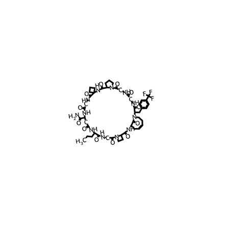 CCCC1NC(=O)CC(C(N)=O)NC(=O)CNC(=O)C2(CCC2)NC(=O)C2CCCN2C(=O)CNC(=O)CNC(=O)C(Cc2ccc(C(F)(F)F)cc2)N2CCC=CCC(NC(=O)C3CCN3C(=O)CNC1=O)C2=O